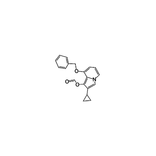 O=COc1c(C2CC2)cn2cccc(OCc3ccccc3)c12